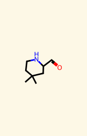 CC1(C)CCNC(C=O)C1